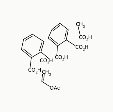 C=COC(C)=O.CC(=O)O.O=C(O)c1ccccc1C(=O)O.O=C(O)c1ccccc1C(=O)O